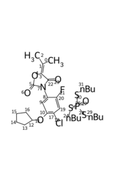 CC(C)=C1OC(=O)N(c2cc(OC3CCCC3)c(Cl)cc2F)C1=O.CCCCSP(=O)(SCCCC)SCCCC